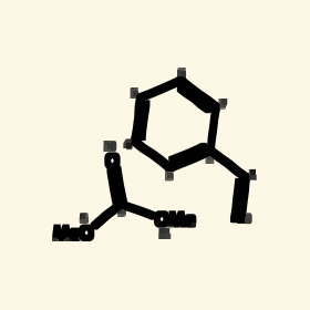 C=Cc1ccccc1.COC(=O)OC